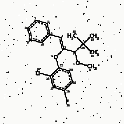 COC(C(=Cc1cccnc1)Oc1ccc(F)cc1Cl)C(C)(C)C